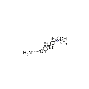 CCC(CC)(c1ccc(/C=C/C(O)(C(F)(F)F)C(F)(F)F)c(C)c1)c1ccc(OCCCCCN)c(C)c1